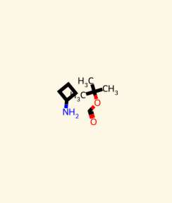 CC(C)(C)OC=O.NC1CCC1